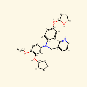 COc1ccc(N(Cc2cccnc2)c2ccc(OC3CCCO3)cc2)cc1OC1CCCC1